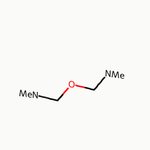 CNCOCNC